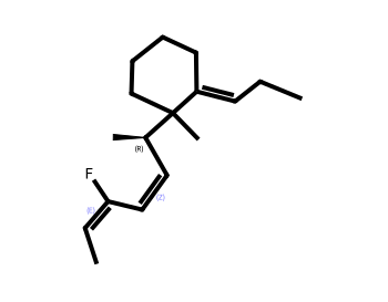 C/C=C(F)\C=C/[C@@H](C)C1(C)CCCCC1=CCC